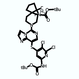 CC(C)(C)OC(=O)Nc1cc(Sc2cnc(N3CCC4(CCCC4(C)NC(=O)OC(C)(C)C)CC3)n3ccnc23)c(Cl)c(Cl)n1